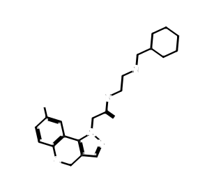 O=C(Cn1ncc2c1-c1cc(F)ccc1OC2)NCCNCC1CCCCC1